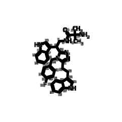 CC(C)(N)C(=O)NCC(c1c[nH]c2ccccc12)c1nnc(CCc2c[nH]c3ccccc23)n1Cc1ccc(F)cc1